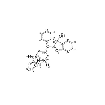 CO[C@@H]1C[C@H]2C[C@@H](OC(=O)C(O)(c3ccccc3)c3ccccc3)C[C@@H]1N2C